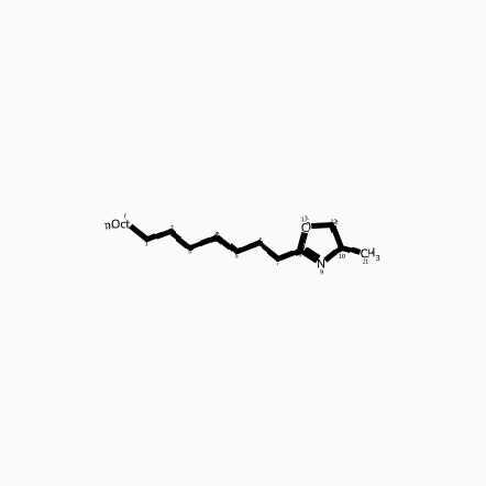 CCCCCCCCCCCCCCCC1=NC(C)CO1